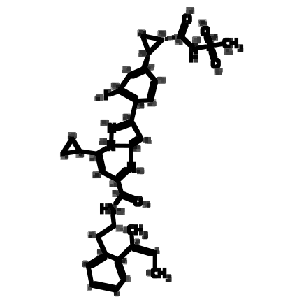 C/C=C(/C)c1ccccc1CCNC(=O)c1cc(C2CC2)n2nc(-c3ccc([C@H]4C[C@@H]4C(=O)NS(C)(=O)=O)cc3F)cc2n1